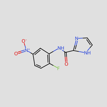 O=C(Nc1cc([N+](=O)[O-])ccc1F)c1ncc[nH]1